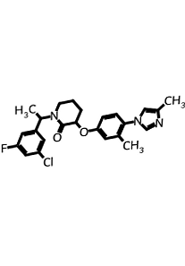 Cc1cn(-c2ccc(OC3CCCN(C(C)c4cc(F)cc(Cl)c4)C3=O)cc2C)cn1